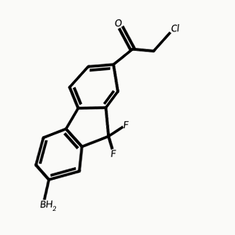 Bc1ccc2c(c1)C(F)(F)c1cc(C(=O)CCl)ccc1-2